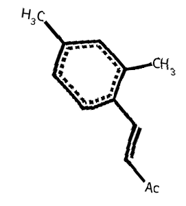 CC(=O)/C=C/c1ccc(C)cc1C